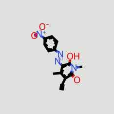 C#Cc1c(C)c(/N=N/c2ccc([N+](=O)[O-])cc2)c(O)n(C)c1=O